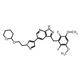 COc1cc(OC)c(F)c(Cc2n[nH]c3ncc(-c4cnn(CCOC5CCCCO5)c4)cc23)c1F